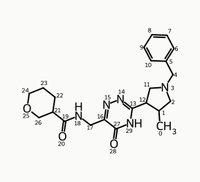 CC1CN(Cc2ccccc2)CC1c1nnc(CNC(=O)C2CCCOC2)c(=O)[nH]1